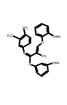 COc1cccc(OC(=N/c2ccc(C)c(C)c2)/C(C)=C/Oc2ccccc2OC)c1